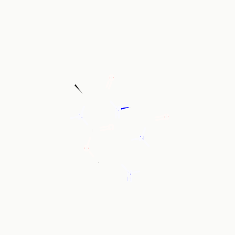 C[C@@H]1CNCCN1C(=O)[C@@H](NC(=O)[C@H](C)N(C)C(=O)OC(C)(C)C)C1CCCCC1